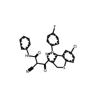 N#CC(C(=O)Nc1ccccc1)C(=O)c1nn(-c2ccc(F)cc2)c2c1CSc1ccc(Cl)cc1-2